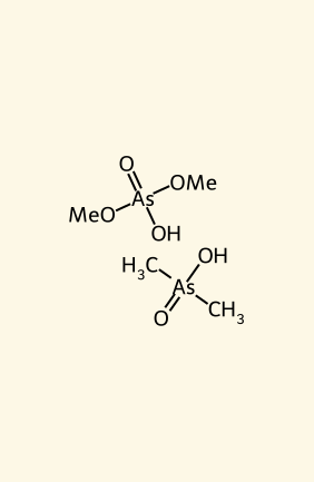 CO[As](=O)(O)OC.C[As](C)(=O)O